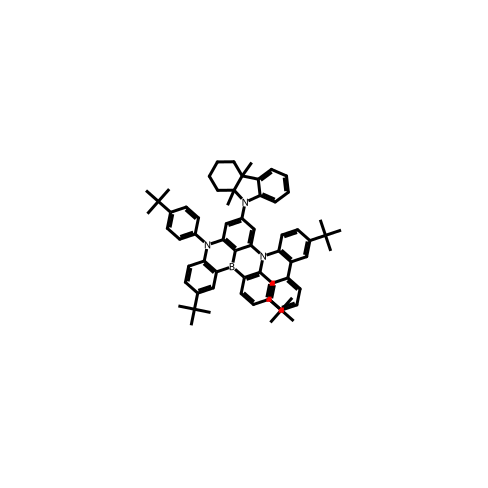 CC(C)(C)c1ccc(N2c3ccc(C(C)(C)C)cc3B3c4ccc(C(C)(C)C)cc4N(c4ccc(C(C)(C)C)cc4-c4ccccc4)c4cc(N5c6ccccc6C6(C)CCCCC56C)cc2c43)cc1